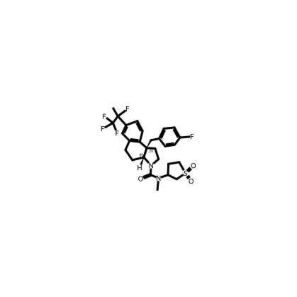 CN(C(=O)N1CC[C@@]2(Cc3ccc(F)cc3)c3ccc(C(C)(F)C(F)(F)F)cc3CC[C@@H]12)C1CCS(=O)(=O)C1